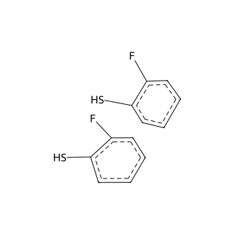 Fc1ccccc1S.Fc1ccccc1S